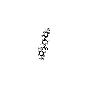 CC(C)c1ccc(NC(=O)N2CCN(c3cnc(C#N)nc3)CC2)cc1